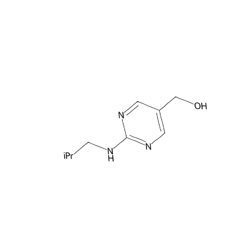 CC(C)CNc1ncc(CO)cn1